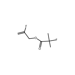 C=C(F)COC(=O)C(C)(C)F